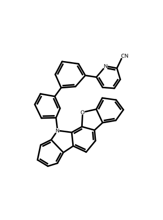 N#Cc1cccc(-c2cccc(-c3cccc(-n4c5ccccc5c5ccc6c7ccccc7oc6c54)c3)c2)n1